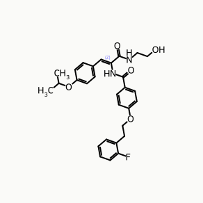 CC(C)Oc1ccc(/C=C(\NC(=O)c2ccc(OCCc3ccccc3F)cc2)C(=O)NCCO)cc1